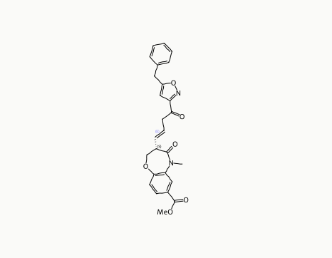 COC(=O)c1ccc2c(c1)N(C)C(=O)[C@@H](/C=C/CC(=O)c1cc(Cc3ccccc3)on1)CO2